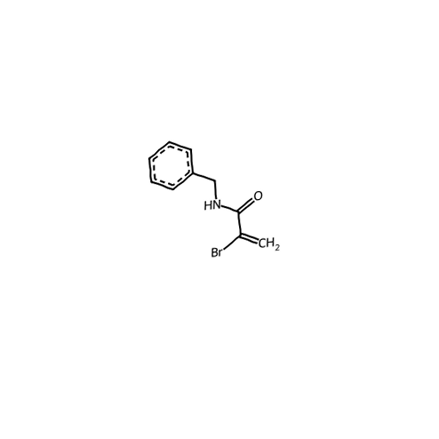 C=C(Br)C(=O)NCc1ccccc1